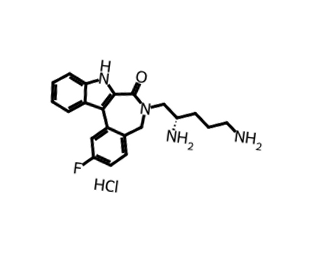 Cl.NCCC[C@H](N)CN1Cc2ccc(F)cc2-c2c([nH]c3ccccc23)C1=O